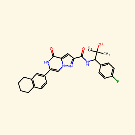 CC(C)(O)C(NC(=O)c1cc2c(=O)[nH]c(-c3ccc4c(c3)CCCC4)cn2n1)c1ccc(F)cc1